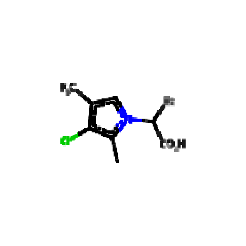 CCC(C(=O)O)n1cc(C(F)(F)F)c(Cl)c1C